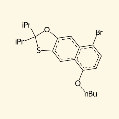 CCCCOc1ccc(Br)c2cc3c(cc12)SC(C(C)C)(C(C)C)O3